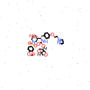 CC(C)CN(C[C@@H](O)[C@H](Cc1ccc(OCCn2cccn2)cc1)NC(=O)O[C@H]1CO[C@H]2COC[C@H]21)S(=O)(=O)c1ccc2c(c1)OCO2